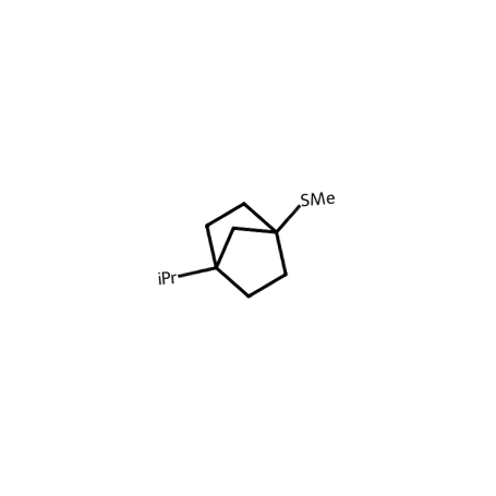 CSC12CCC(C(C)C)(CC1)C2